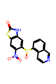 O=c1[nH]c2cc([S+]([O-])c3cccc4cnccc34)c([N+](=O)[O-])cc2s1